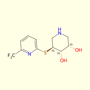 O[C@@H]1[C@@H](Sc2cccc(C(F)(F)F)n2)CNC[C@@H]1O